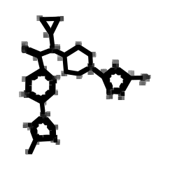 Cc1ncn(-c2cnc(C(=O)N(C3CC3)C3CCN(c4nc(C(C)C)no4)CC3)cn2)n1